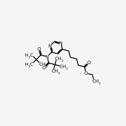 CCOC(=O)CCCCc1cc(N(C(=O)C(C)(C)C)C(=O)C(C)(C)C)ncn1